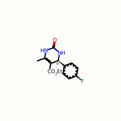 CCOC(=O)C1=C(C)NC(=O)N[C@H]1c1ccc(F)cc1